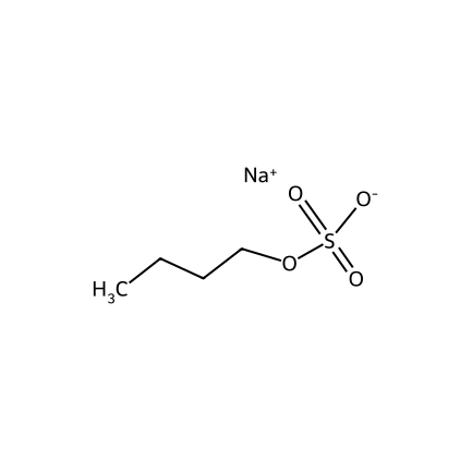 CCCCOS(=O)(=O)[O-].[Na+]